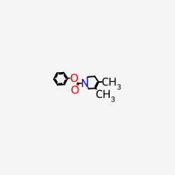 CC1=C(C)CN(C(=O)Oc2ccccc2)CC1